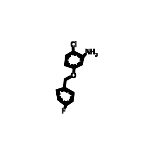 Nc1cc(OCc2ccc(F)cc2)ccc1Cl